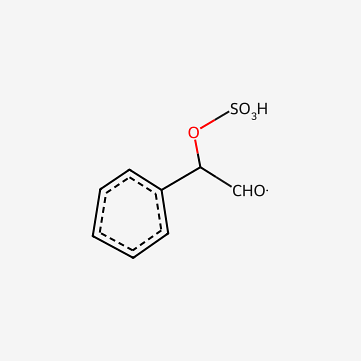 O=[C]C(OS(=O)(=O)O)c1ccccc1